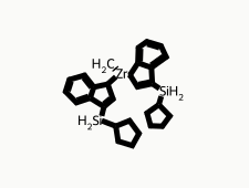 [CH2]=[Zr]([CH]1C=C([SiH2]C2CCCC2)c2ccccc21)[CH]1C=C([SiH2]C2CCCC2)c2ccccc21